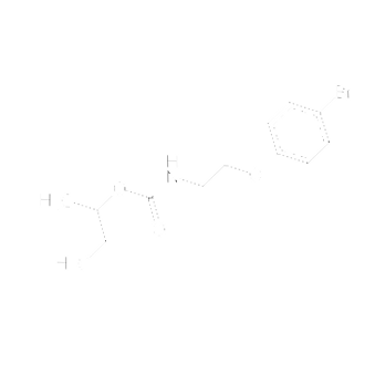 CCC(C)OC(=O)NCCOc1ccc(Br)cc1